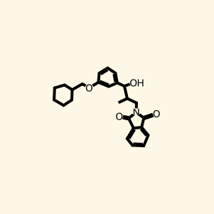 CC(CN1C(=O)c2ccccc2C1=O)C(O)c1cccc(OCC2CCCCC2)c1